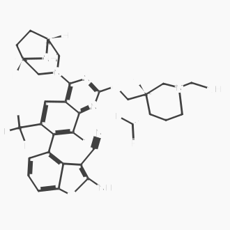 CCN1CC[C@H](C(F)F)[C@](C)(COc2nc(N3C[C@H]4CC[C@@H](C3)N4)c3cc(C(F)(F)F)c(-c4cccc5sc(N)c(C#N)c45)c(F)c3n2)C1